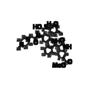 COC(=O)c1ccc2c(c1)NC(=O)/C2=C(\Nc1ccc(N(C)C(=O)CN2CCN(C)CC2)cc1)c1ccccc1.Cc1ccc(S(=O)(=O)O)cc1.O